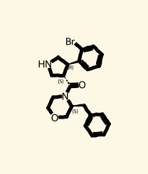 O=C([C@@H]1CNC[C@H]1c1ccccc1Br)N1CCOC[C@@H]1Cc1ccccc1